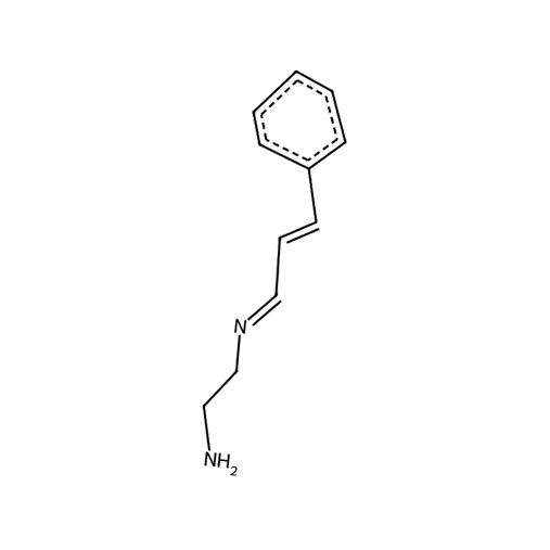 NCCN=CC=Cc1ccccc1